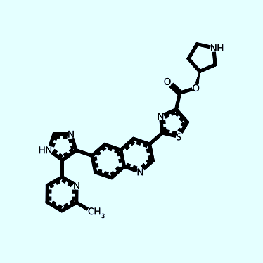 Cc1cccc(-c2[nH]cnc2-c2ccc3ncc(-c4nc(C(=O)O[C@H]5CCNC5)cs4)cc3c2)n1